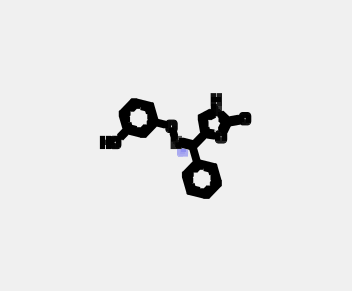 O=c1[nH]cc(/C(=N\Oc2cccc(O)c2)c2ccccc2)o1